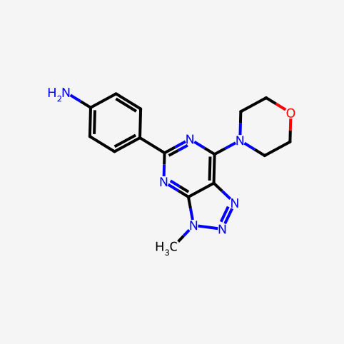 Cn1nnc2c(N3CCOCC3)nc(-c3ccc(N)cc3)nc21